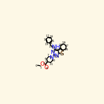 CCOC(=O)C1CCN(c2nc(NCc3ccccc3)c3c4c(sc3n2)CCCC4)CC1